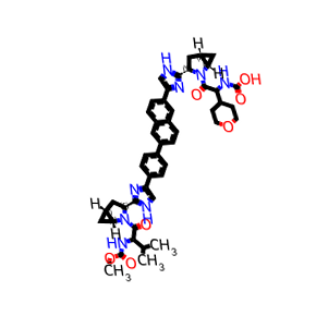 COC(=O)NC(C(=O)N1[C@@H]2C[C@@H]2C[C@H]1c1nc(-c2ccc(-c3ccc4cc(-c5c[nH]c([C@@H]6C[C@H]7C[C@H]7N6C(=O)C(NC(=O)O)C6CCOCC6)n5)ccc4c3)cc2)c[nH]1)C(C)C